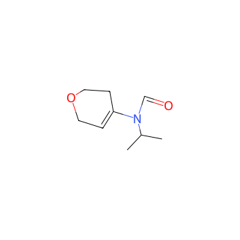 CC(C)N(C=O)C1=CCOCC1